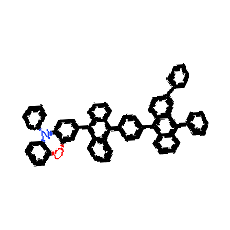 c1ccc(-c2ccc3c(-c4ccc(-c5c6ccccc6c(-c6ccc7c(c6)Oc6ccccc6N7c6ccccc6)c6ccccc56)cc4)c4ccccc4c(-c4ccccc4)c3c2)cc1